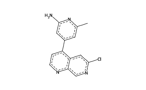 Cc1cc(-c2ccnc3cnc(Cl)cc23)cc(N)n1